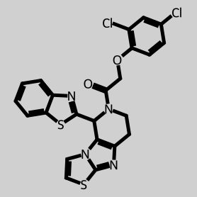 O=C(COc1ccc(Cl)cc1Cl)N1CCc2nc3sccn3c2C1c1nc2ccccc2s1